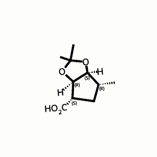 C[C@@H]1C[C@H](C(=O)O)[C@H]2OC(C)(C)O[C@H]21